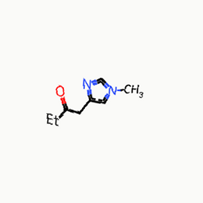 CCC(=O)Cc1cn(C)cn1